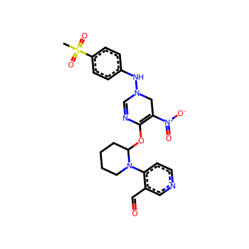 CS(=O)(=O)c1ccc(NN2C=NC(OC3CCCCN3c3ccncc3C=O)=C([N+](=O)[O-])C2)cc1